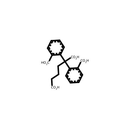 O=C(O)CCCC(C(=O)O)(c1ccccc1C(=O)O)c1ccccc1C(=O)O